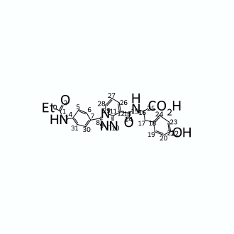 CCC(=O)Nc1ccc(-c2nnc3c(C(=O)NC(Cc4ccc(O)cc4)C(=O)O)cccn23)cc1